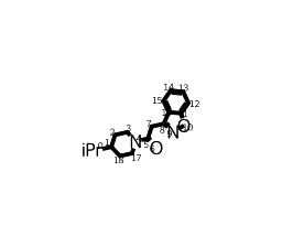 CC(C)C1CCN(C(=O)Cc2noc3ccccc23)CC1